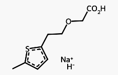 Cc1ccc(CCOCC(=O)O)s1.[H-].[Na+]